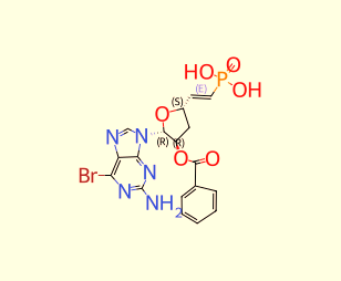 Nc1nc(Br)c2ncn([C@@H]3O[C@H](/C=C/P(=O)(O)O)C[C@H]3OC(=O)c3ccccc3)c2n1